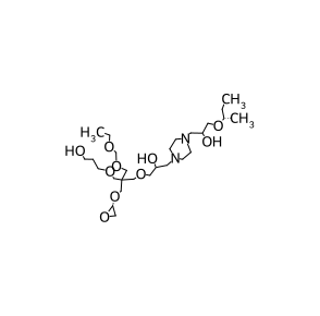 CCOCOCC(COCCCO)(COCC(O)CN1CCN(CC(O)CO[C@@H](C)CC)CC1)CO[C@@H]1CO1